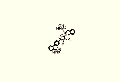 CC(C)C(NC(=O)c1ccc(-c2ccccc2-c2nnn[nH]2)cc1)C(=O)N[C@H](CC(=O)NO)Cc1ccccc1